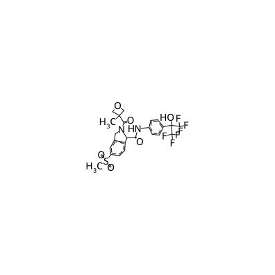 CC1(C(=O)N2Cc3cc(S(C)(=O)=O)ccc3C2C(=O)Nc2ccc(C(O)(C(F)(F)F)C(F)(F)F)cc2)COC1